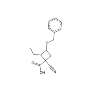 CCC1C(OCc2ccccc2)CC1(C#N)C(=O)O